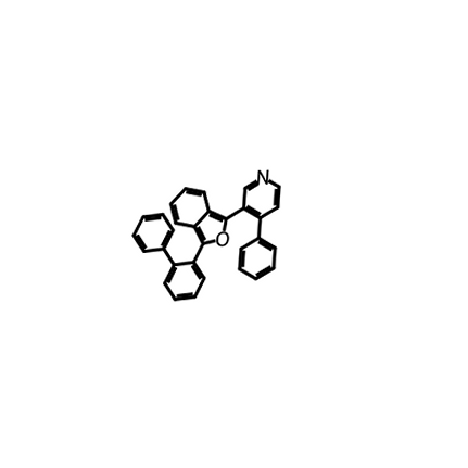 c1ccc(-c2ccccc2-c2oc(-c3cnccc3-c3ccccc3)c3ccccc23)cc1